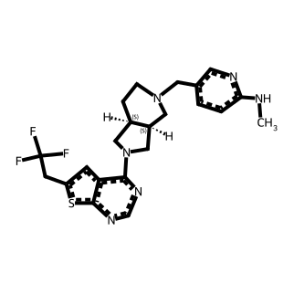 CNc1ccc(CN2CC[C@@H]3CN(c4ncnc5sc(CC(F)(F)F)cc45)C[C@@H]3C2)cn1